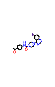 CC(=O)c1ccc(NC(=O)N2CCN(c3ncnc4ccc(I)cc34)CC2)cc1